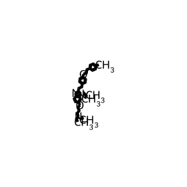 CCN(CC)CCCOc1ccc2nc(CCc3ccc(OCCc4ccc(C)cc4)cc3)n(CC(C)C)c2c1